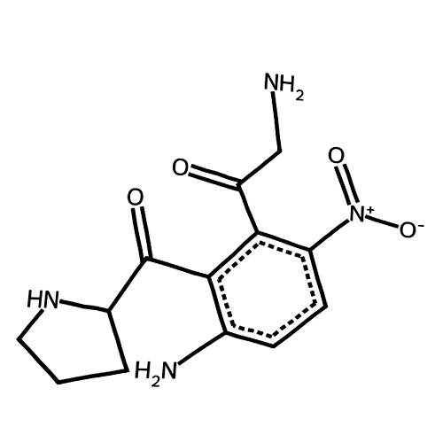 NCC(=O)c1c([N+](=O)[O-])ccc(N)c1C(=O)C1CCCN1